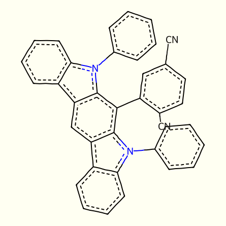 N#Cc1ccc(C#N)c(-c2c3c(cc4c5ccccc5n(-c5ccccc5)c24)c2ccccc2n3-c2ccccc2)c1